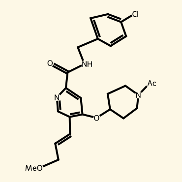 COC/C=C/c1cnc(C(=O)NCc2ccc(Cl)cc2)cc1OC1CCN(C(C)=O)CC1